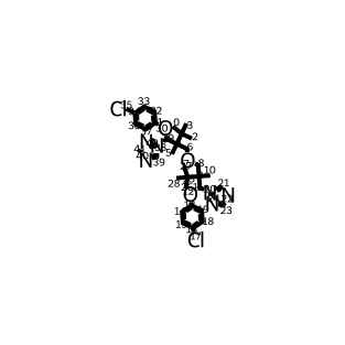 CC(C)(C)C(C)(COCC(C)(C(Oc1ccc(Cl)cc1)n1cncn1)C(C)(C)C)C(Oc1ccc(Cl)cc1)n1cncn1